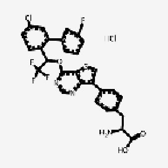 Cl.NC(Cc1ccc(-c2csc3c(OC(c4ccc(Cl)cc4-c4cccc(F)c4)C(F)(F)F)ncnc23)cc1)C(=O)O